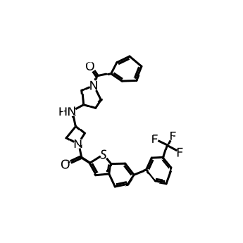 O=C(c1ccccc1)N1CCC(NC2CN(C(=O)c3cc4ccc(-c5cccc(C(F)(F)F)c5)cc4s3)C2)C1